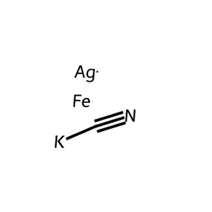 N#[C][K].[Ag].[Fe]